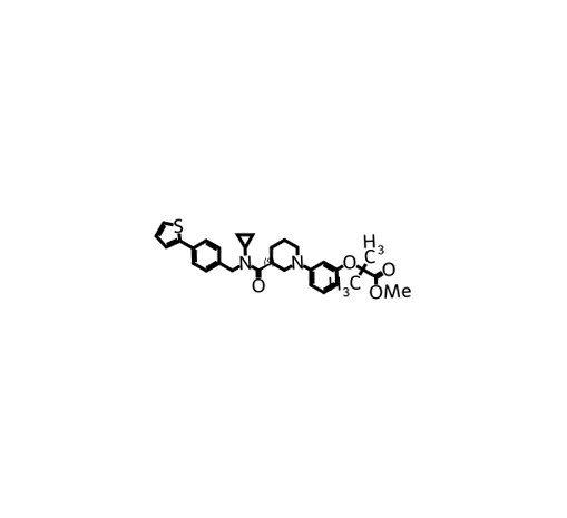 COC(=O)C(C)(C)Oc1cccc(N2CCC[C@H](C(=O)N(Cc3ccc(-c4cccs4)cc3)C3CC3)C2)c1